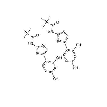 CC(C)(C)C(=O)Nc1nc(-c2ccc(O)cc2O)cs1.CC(C)(C)C(=O)Nc1nc(-c2ccc(O)cc2O)cs1